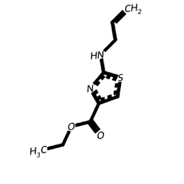 C=CCNc1nc(C(=O)OCC)cs1